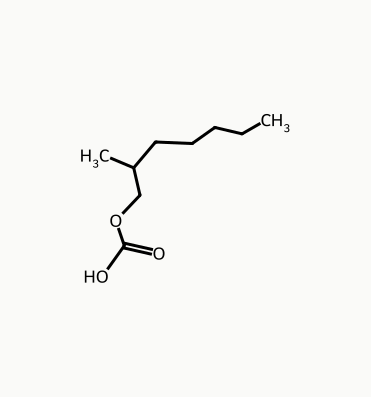 CCCCCC(C)COC(=O)O